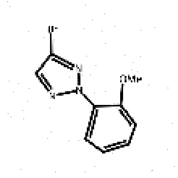 COc1ccccc1-n1ncc(Br)n1